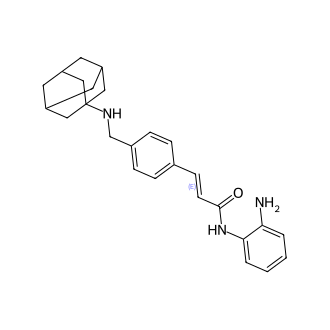 Nc1ccccc1NC(=O)/C=C/c1ccc(CNC23CC4CC(CC(C4)C2)C3)cc1